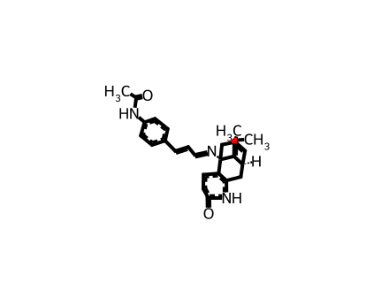 C/C=C1\[C@H]2C=C(C)C[C@]1(N=CC=Cc1ccc(NC(C)=O)cc1)c1ccc(=O)[nH]c1C2